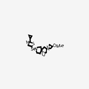 COC1CN(C2COC3(CCN(Sc4cnc(C5CC5)s4)CC3)C2)C1